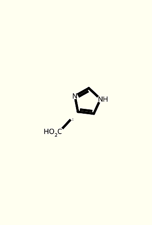 [CH]C(=O)O.c1c[nH]cn1